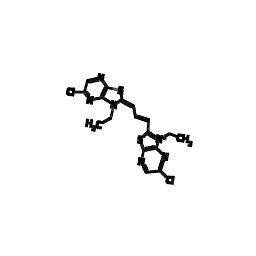 CCN1C(=CC=Cc2sc3ncc(Cl)nc3[n+]2CC)Sc2ncc(Cl)nc21